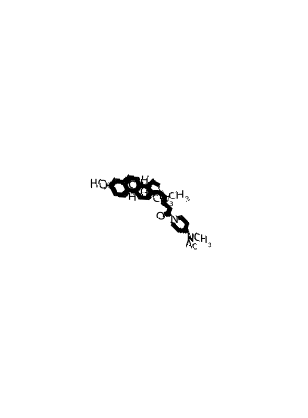 CC(=O)N(C)C1CCN(C(=O)CC[C@@H](C)[C@H]2CC[C@H]3[C@@H]4CC=C5C[C@@H](O)CC[C@]5(C)[C@H]4CC[C@]23C)CC1